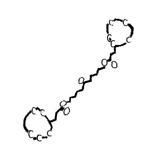 O=C(CCCCCOC(=O)CCC1CCCCCCCCCCCCCC1)CCCCCOC(=O)CCC1CCCCCCCCCCCCCC1